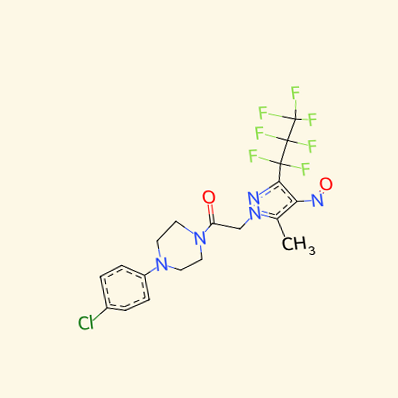 Cc1c(N=O)c(C(F)(F)C(F)(F)C(F)(F)F)nn1CC(=O)N1CCN(c2ccc(Cl)cc2)CC1